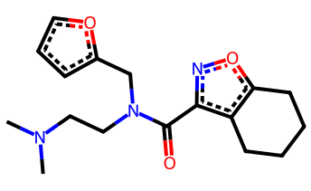 CN(C)CCN(Cc1ccco1)C(=O)c1noc2c1CCCC2